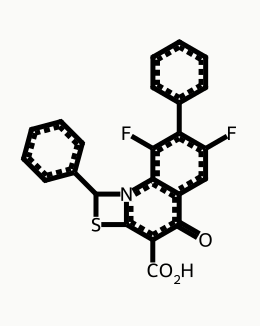 O=C(O)c1c2n(c3c(F)c(-c4ccccc4)c(F)cc3c1=O)C(c1ccccc1)S2